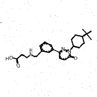 CC(C)(C)C1CCC(n2nc(-c3cccc(CNCCC(=O)O)c3)ccc2=O)CC1